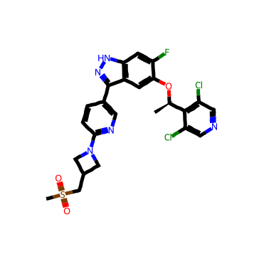 C[C@@H](Oc1cc2c(-c3ccc(N4CC(CS(C)(=O)=O)C4)nc3)n[nH]c2cc1F)c1c(Cl)cncc1Cl